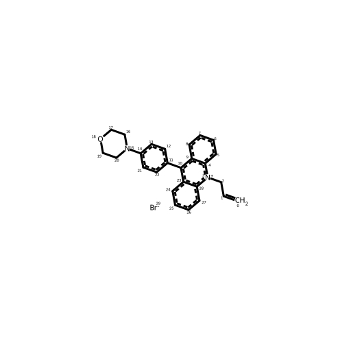 C=CC[n+]1c2ccccc2c(-c2ccc(N3CCOCC3)cc2)c2ccccc21.[Br-]